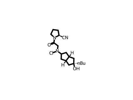 CCCC[C@@]1(O)C[C@H]2CC(N(Cl)CC(=O)N3CCC[C@H]3C#N)C[C@H]2C1